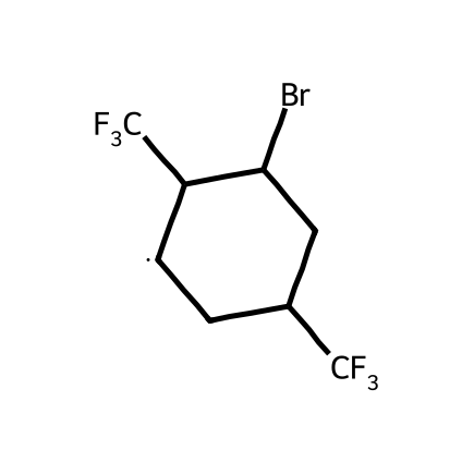 FC(F)(F)C1C[CH]C(C(F)(F)F)C(Br)C1